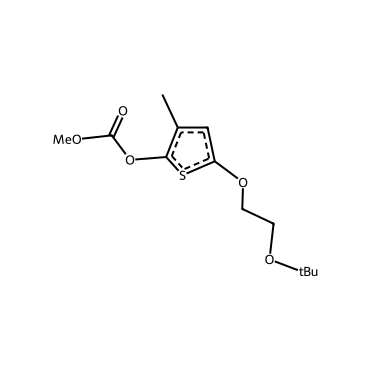 COC(=O)Oc1sc(OCCOC(C)(C)C)cc1C